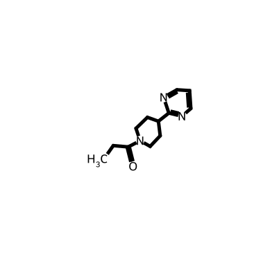 CCC(=O)N1CCC(c2ncccn2)CC1